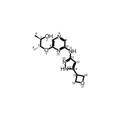 C[C@@H](O)[C@@H](C)Oc1cncc(Nc2cc(C3COC3)[nH]n2)n1